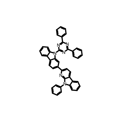 c1ccc(-c2nc(-c3ccccc3)nc(-n3c4ccccc4c4ccc(-c5ccc6c7ccccc7n(-c7ccccc7)c6n5)cc43)n2)cc1